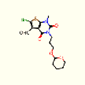 Cn1c(=O)n(CCCOC2CCCCO2)c(=O)c2c(C=O)c(Br)sc21